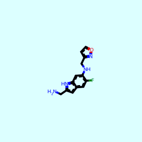 NCc1cc2cc(F)c(NCc3ccon3)cc2[nH]1